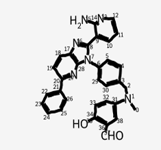 CN(Cc1ccc(-n2c(-c3cccnc3N)nc3ccc(-c4ccccc4)nc32)cc1)c1ccc(O)c(C=O)c1